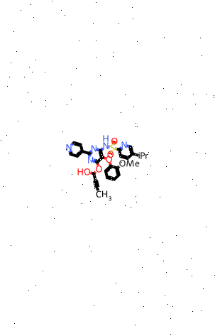 CC#CC(O)Oc1nc(-c2ccncc2)nc(NS(=O)(=O)c2ccc(C(C)C)cn2)c1Oc1ccccc1OC